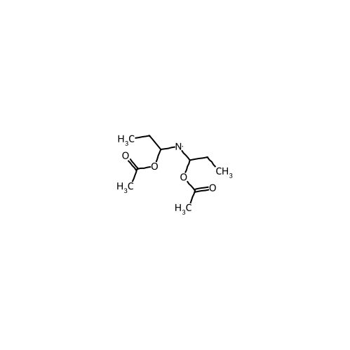 CCC([N]C(CC)OC(C)=O)OC(C)=O